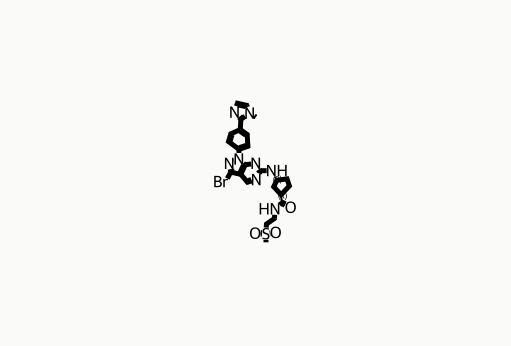 Cn1ccnc1-c1ccc(-n2nc(Br)c3cnc(N[C@@H]4CC[C@@H](C(=O)NCCS(C)(=O)=O)C4)nc32)cc1